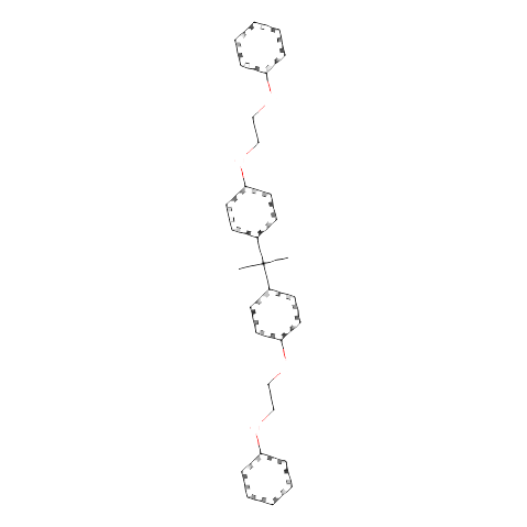 CC(C)(c1ccc(OCCOc2ccccc2)cc1)c1ccc(OCCOc2ccccc2)cc1